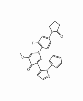 COc1cn(-c2ccc(N3CCCC3=O)cc2F)nc(-c2ccnn2-c2ccccc2)c1=O